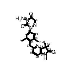 Cc1cc(-n2ncc(=O)n(N)c2=O)cc(C)c1Cc1ccc2c(n1)C(C)(C)C(=O)N2